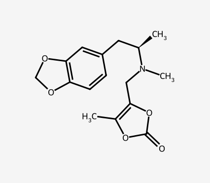 Cc1oc(=O)oc1CN(C)[C@H](C)Cc1ccc2c(c1)OCO2